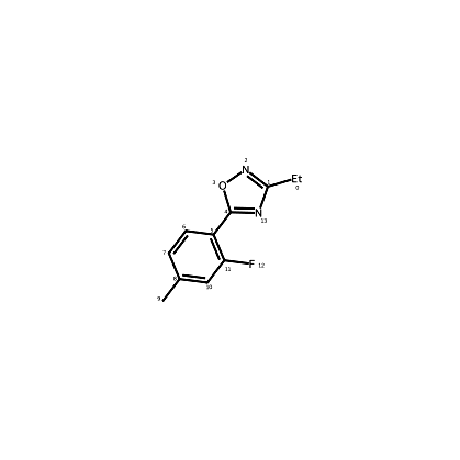 CCc1noc(-c2ccc(C)cc2F)n1